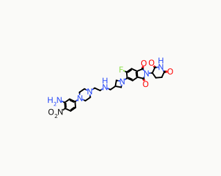 Nc1cc(N2CCN(CCNCC3CN(c4cc5c(cc4F)C(=O)N(C4CCC(=O)NC4=O)C5=O)C3)CC2)ccc1[N+](=O)[O-]